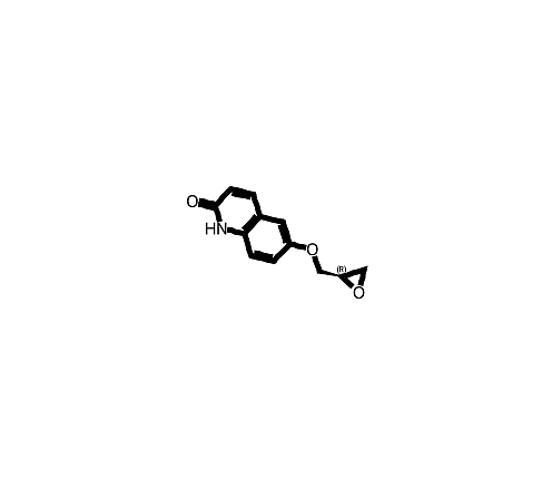 O=c1ccc2cc(OC[C@H]3CO3)ccc2[nH]1